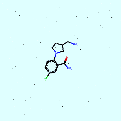 NCC1CCN(c2ccc(Cl)cc2C(N)=O)C1